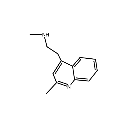 CNCCc1cc(C)nc2ccccc12